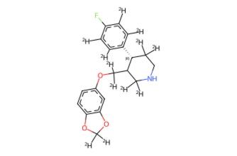 [2H]c1c([2H])c([C@H]2C(C([2H])([2H])Oc3ccc4c(c3)OC([2H])([2H])O4)C([2H])([2H])NCC2([2H])[2H])c([2H])c([2H])c1F